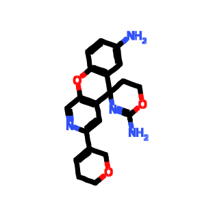 NC1=NC2(CCO1)c1cc(N)ccc1Oc1cnc(C3=CCCOC3)cc12